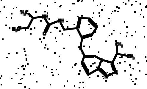 CCC(C)NC(=O)NCc1ccccc1Sc1ccc2nnc(C(C)C)n2c1